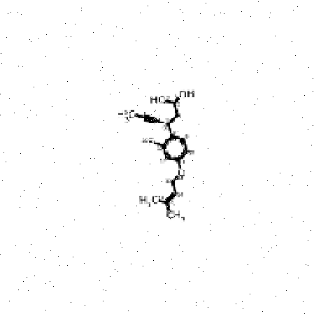 CC#C[C@@H](CC(O)O)c1ccc(OCC=C(C)C)cc1F